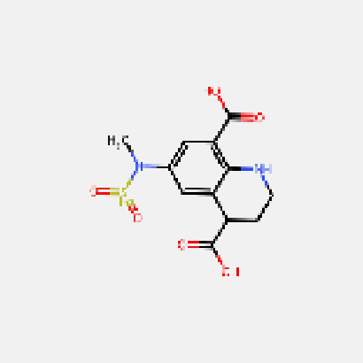 CN(c1cc(C(=O)O)c2c(c1)C(C(=O)O)CCN2)[SH](=O)=O